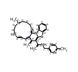 C=C(NCc1cnc(C)cn1)C1=C2Sc3ccccc3N2C2=N/CCCN(C)CCN/C=C/C=C\2C1=C